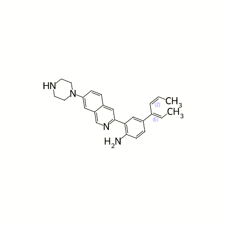 C/C=C\C(=C/C)c1ccc(N)c(-c2cc3ccc(N4CCNCC4)cc3cn2)c1